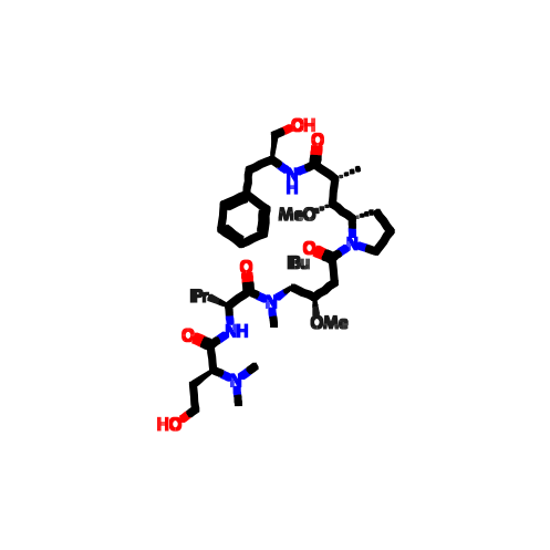 CC[C@H](C)[C@@H]([C@@H](CC(=O)N1CCC[C@H]1[C@H](OC)[C@@H](C)C(=O)N[C@H](CO)Cc1ccccc1)OC)N(C)C(=O)[C@@H](NC(=O)[C@H](CCO)N(C)C)C(C)C